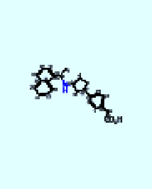 C[C@@H](NC1CC[C@@H](c2ccc(CC(=O)O)cc2)C1)c1cccc2ccccc12